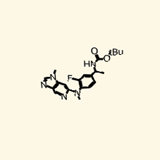 CC(NC(=O)OC(C)(C)C)c1ccc(N(C)c2cc3c(cn2)ncn3C)c(F)c1